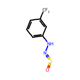 O=S=NNc1cccc(C(F)(F)F)c1